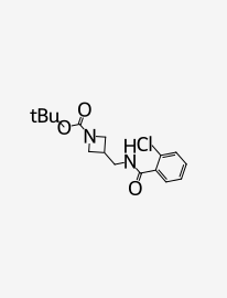 CC(C)(C)OC(=O)N1CC(CNC(=O)c2ccccc2Cl)C1